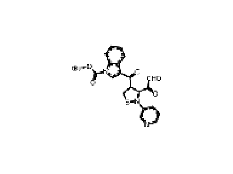 CC(C)(C)OC(=O)n1cc(C(=O)C2CSN(c3cccnc3)C2C(=O)C=O)c2ccccc21